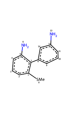 CSc1cccc(N)c1-c1cccc(N)c1